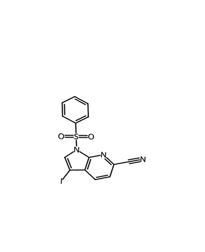 N#Cc1ccc2c(I)cn(S(=O)(=O)c3ccccc3)c2n1